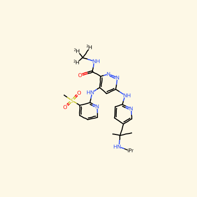 [2H]C([2H])([2H])NC(=O)c1nnc(Nc2ccc(C(C)(C)NC(C)C)cn2)cc1Nc1ncccc1S(C)(=O)=O